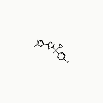 Cn1cc(-c2coc(C(C)(c3ccc(Br)cc3)C3CC3)n2)cn1